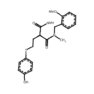 CNC(=O)C(CCSc1ccc(O)cc1)C(=O)N(C)Cc1ccccc1OC